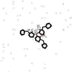 Cc1c(Cc2ccccc2)cccc1[Si](Cl)(c1cccc(Cc2ccccc2)c1C)c1cccc(Cc2ccccc2)c1C